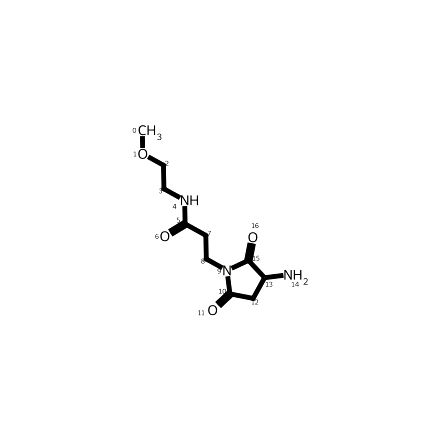 COCCNC(=O)CCN1C(=O)CC(N)C1=O